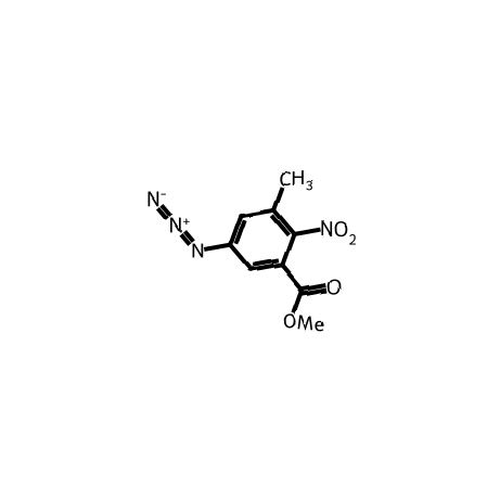 COC(=O)c1cc(N=[N+]=[N-])cc(C)c1[N+](=O)[O-]